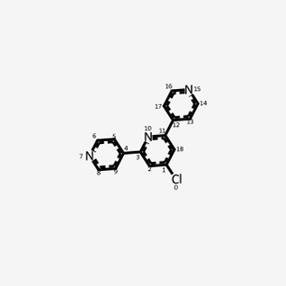 Clc1cc(-c2ccncc2)nc(-c2ccncc2)c1